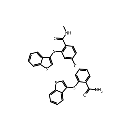 CNC(=O)c1ccc(Cl)cc1Sc1csc2ccccc12.NC(=O)c1ccccc1Sc1csc2ccccc12